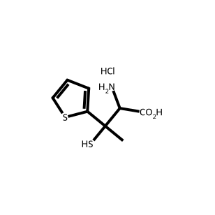 CC(S)(c1cccs1)C(N)C(=O)O.Cl